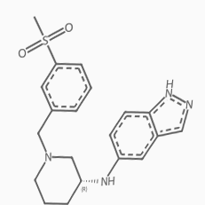 CS(=O)(=O)c1cccc(CN2CCC[C@@H](Nc3ccc4[nH]ncc4c3)C2)c1